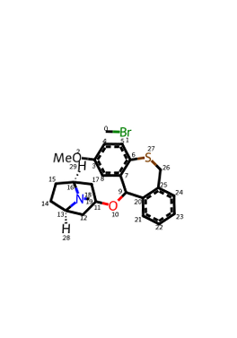 CBr.COc1ccc2c(c1)C(OC1C[C@H]3CC[C@@H](C1)N3C)c1ccccc1CS2